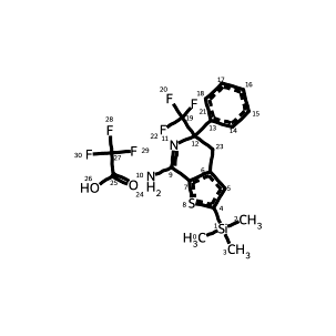 C[Si](C)(C)c1cc2c(s1)C(N)=NC(c1ccccc1)(C(F)(F)F)C2.O=C(O)C(F)(F)F